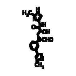 Cc1nc(NC(=O)[C@@H](O)CN(C=O)c2cccc(-c3cnn(C)c3)c2)c[nH]1